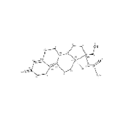 CCCC(=O)O[C@@]1(CC#N)CCC2C3CCC4=CC(=O)CCC4=C3CC[C@@]21C